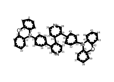 c1ccc2c(c1)Oc1ccccc1N2c1ccc(-c2cnccc2-c2ccncc2-c2ccc(N3c4ccccc4Oc4ccccc43)cc2)cc1